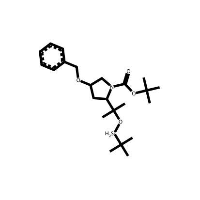 CC(C)(C)OC(=O)N1CC(OCc2ccccc2)CC1C(C)(C)O[SiH2]C(C)(C)C